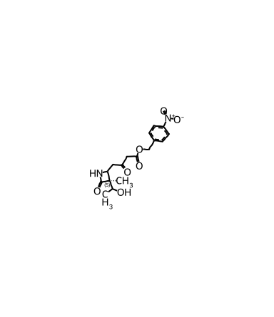 CC(O)[C@@]1(C)C(=O)NC1CC(=O)CC(=O)OCc1ccc([N+](=O)[O-])cc1